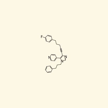 Fc1ccc(CCCC#Cc2ncn(CCCc3ccccc3)c2-c2ccncc2)cc1